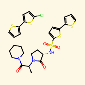 C[C@@H](C(=O)N1CCCCC1)N1CC[C@H](NS(=O)(=O)c2ccc(-c3cccs3)s2)C1=O.Clc1ccc(-c2cccs2)s1